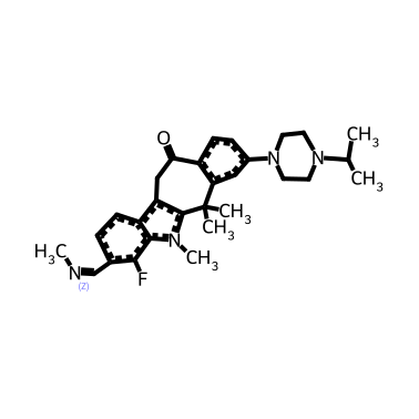 C/N=C\c1ccc2c3c(n(C)c2c1F)C(C)(C)c1cc(N2CCN(C(C)C)CC2)ccc1C(=O)C3